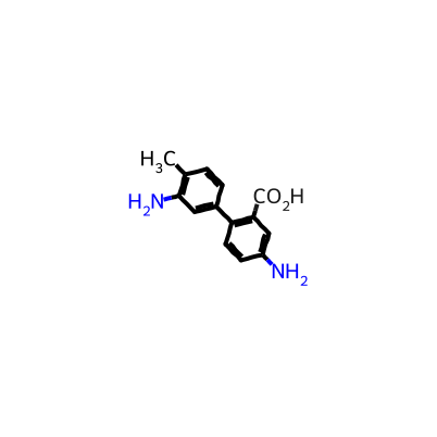 Cc1ccc(-c2ccc(N)cc2C(=O)O)cc1N